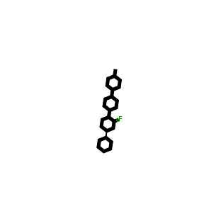 CC1CCC(C2CCC(C3CC[C@H](C4CCCCC4)CC3F)CC2)CC1